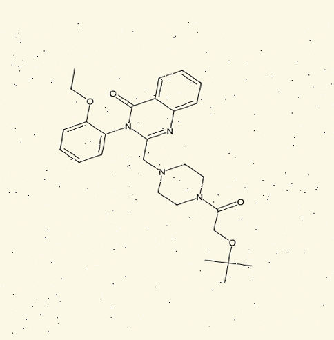 CCOc1ccccc1-n1c(CN2CCN(C(=O)COC(C)(C)C)CC2)nc2ccccc2c1=O